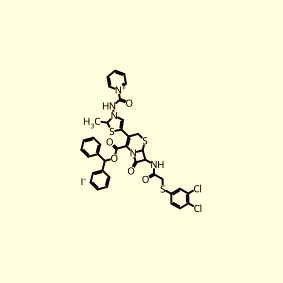 CC1SC(C2=C(C(=O)OC(c3ccccc3)c3ccccc3)N3C(=O)C(NC(=O)CSc4ccc(Cl)c(Cl)c4)C3SC2)=CN1NC(=O)[n+]1ccccc1.[I-]